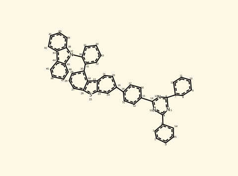 c1ccc(-c2nc(-c3ccccc3)nc(-c3ccc(-c4ccc5c(c4)sc4cccc(-c6ccccc6-n6c7ccccc7c7ccccc76)c45)cc3)n2)cc1